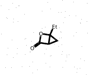 CCC12CC1C(=O)O2